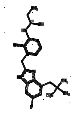 CC[C@@H](O)Nc1cccn(Cc2nc3c(CC(C)(C)C)cc(F)cc3[nH]2)c1=O